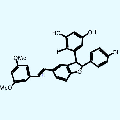 COc1cc(/C=C/c2ccc3c(c2)C(c2cc(O)cc(O)c2I)C(c2ccc(O)cc2)O3)cc(OC)c1